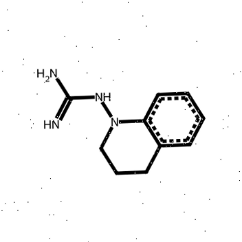 N=C(N)NN1CCCc2ccccc21